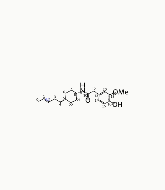 C/C=C/CC[C@H]1CC[C@H](NC(=O)Cc2ccc(O)c(OC)c2)CC1